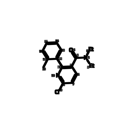 CCN(CC)C(=O)c1ccc(Cl)nc1-c1ccccc1C